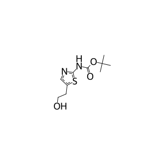 CC(C)(C)OC(=O)Nc1ncc(CCO)s1